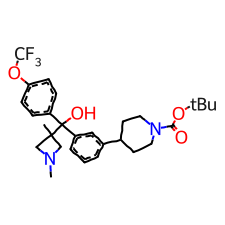 CN1CC(C)(C(O)(c2ccc(OC(F)(F)F)cc2)c2cccc(C3CCN(C(=O)OC(C)(C)C)CC3)c2)C1